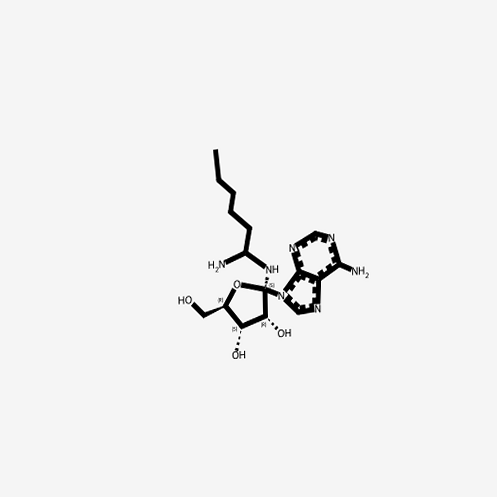 CCCCCC(N)N[C@@]1(n2cnc3c(N)ncnc32)O[C@H](CO)[C@@H](O)[C@H]1O